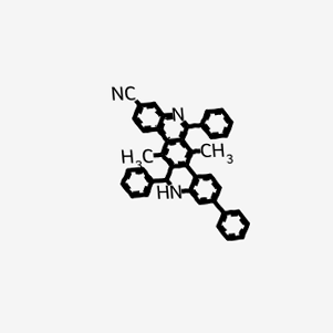 Cc1c2c(c(C)c3c1c(-c1ccccc1)nc1cc(C#N)ccc13)C(c1ccccc1)Nc1cc(-c3ccccc3)ccc1-2